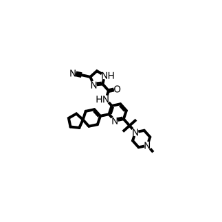 CN1CCN(C(C)(C)c2ccc(NC(=O)C3=NC(C#N)CN3)c(C3=CCC4(CCCC4)CC3)n2)CC1